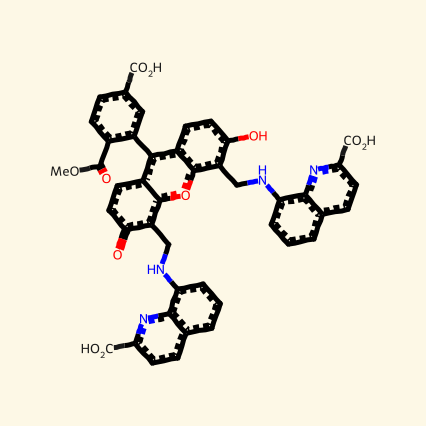 COC(=O)c1ccc(C(=O)O)cc1-c1c2ccc(=O)c(CNc3cccc4ccc(C(=O)O)nc34)c-2oc2c(CNc3cccc4ccc(C(=O)O)nc34)c(O)ccc12